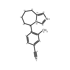 Cc1cc(C#N)ccc1C1CCCCc2cncn21